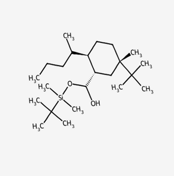 CCCC(C)[C@H]1CC[C@](C)(C(C)(C)C)C[C@@H]1C(O)O[Si](C)(C)C(C)(C)C